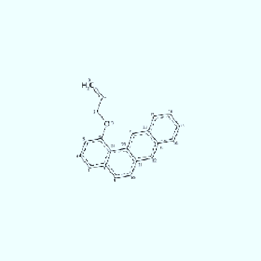 C=CCOc1cccc2ccc3cc4ccccc4cc3c12